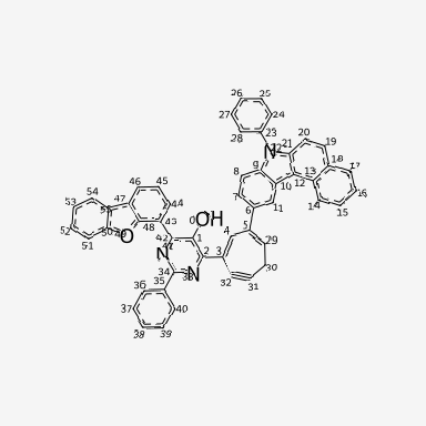 Oc1c(C2=CC(c3ccc4c(c3)c3c5ccccc5ccc3n4-c3ccccc3)=CCC#C2)nc(-c2ccccc2)nc1-c1cccc2c1oc1ccccc12